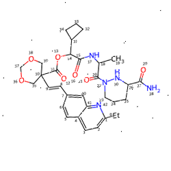 CCc1ccc2ccc(/C=C/C3(C(=O)OC(C(=O)NC(C)C(=O)N4CCCC(C(N)=O)N4)C4CCC4)COCOC3)cc2n1